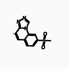 CS(=O)(=O)c1ccc2c[c]c3nncn3c2c1